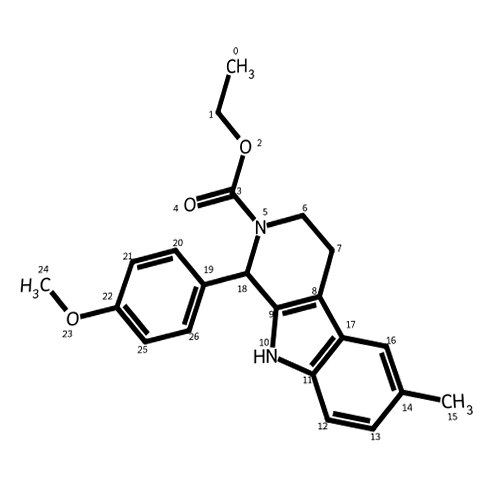 CCOC(=O)N1CCc2c([nH]c3ccc(C)cc23)C1c1ccc(OC)cc1